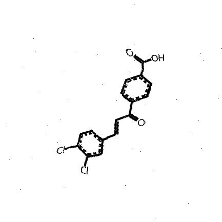 O=C(O)c1ccc(C(=O)/C=C/c2ccc(Cl)c(Cl)c2)cc1